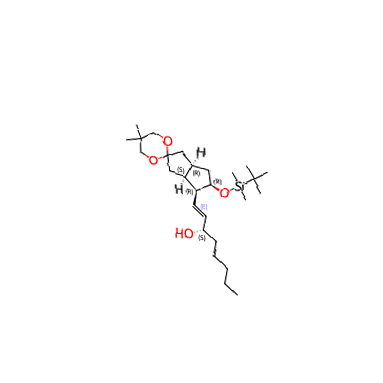 CCCCC[C@H](O)/C=C/[C@H]1[C@H]2CC3(C[C@H]2C[C@H]1O[Si](C)(C)C(C)(C)C)OCC(C)(C)CO3